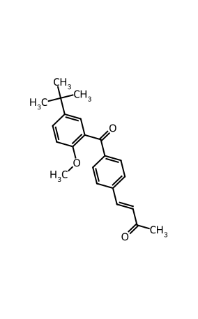 COc1ccc(C(C)(C)C)cc1C(=O)c1ccc(/C=C/C(C)=O)cc1